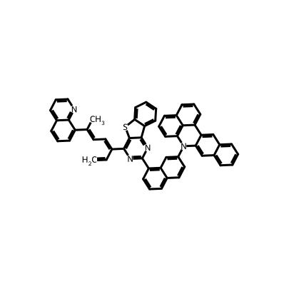 C=C/C(=C\C=C(/C)c1cccc2cccnc12)c1nc(-c2cccc3ccc(N4c5cc6ccccc6cc5-c5cccc6cccc4c56)cc23)nc2c1sc1ccccc12